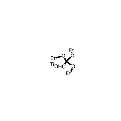 CCOC([C]=O)(OCC)OCC.[Ti]